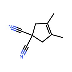 CC1=C(C)CC(C#N)(C#N)C1